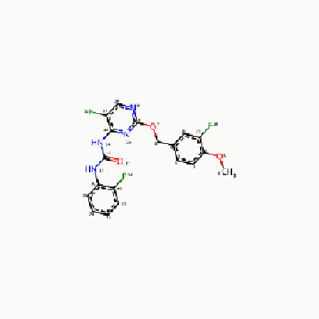 COc1ccc(COc2ncc(F)c(NC(=O)Nc3ccccc3F)n2)cc1F